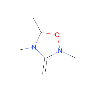 C=C1N(C)OC(C)N1C